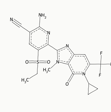 CCS(=O)(=O)c1cc(C#N)c(N)nc1-c1nc2cc(C(F)(F)F)n(C3CC3)c(=O)c2n1C